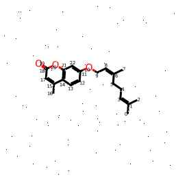 CC(C)=CCCC(C)=CCOc1ccc2c(C)cc(=O)oc2c1